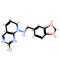 Clc1ncc2c(n1)N(NCc1ccc3c(c1)OCO3)CC=C2